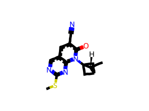 CSc1ncc2cc(C#N)c(=O)n(C34CC(C3)[C@H]4C)c2n1